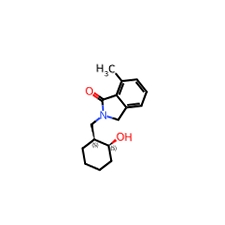 Cc1cccc2c1C(=O)N(C[C@@H]1CCCC[C@@H]1O)C2